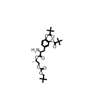 C[C@@H](COC(=O)OCC(C)(C)C)OC(=O)[C@@H](N)Cc1ccc(OC(=O)C(C)(C)C)c(OC(=O)C(C)(C)C)c1